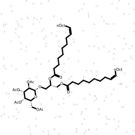 CCCCCCCC/C=C\CCCCCCCC(=O)OC[C@H](CO[C@@H]1O[C@H](COC(C)=O)[C@H](OC(C)=O)[C@H](OC(C)=O)[C@H]1OC(C)=O)OC(=O)CCCCCCC/C=C\CCCCCCCC